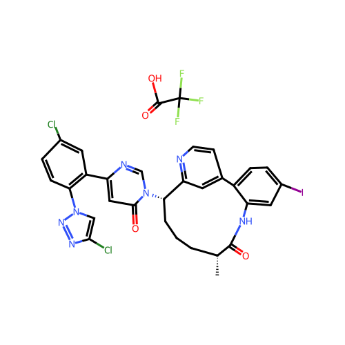 C[C@@H]1CCC[C@H](n2cnc(-c3cc(Cl)ccc3-n3cc(Cl)nn3)cc2=O)c2cc(ccn2)-c2ccc(I)cc2NC1=O.O=C(O)C(F)(F)F